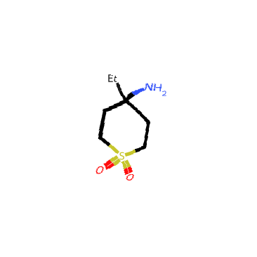 CCC1(N)CCS(=O)(=O)CC1